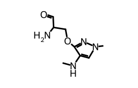 CNc1cn(C)nc1OCC(N)C=O